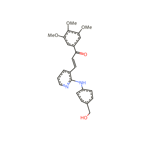 COc1cc(C(=O)/C=C/c2cccnc2Nc2ccc(CO)cc2)cc(OC)c1OC